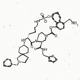 CS(=O)(=O)NCCCC[C@@H](NC1CCC2(CC1)CCN(Cc1ccccc1)C2)C(=O)N1CCN(C(=O)Oc2ccc(CN)c3ccccc23)C[C@H]1C(=O)NCc1cccs1